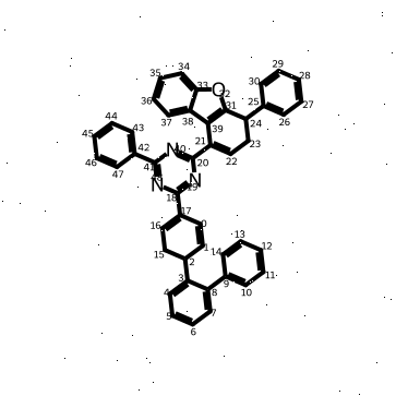 C1=CC(c2ccccc2-c2ccccc2)CC=C1c1nc(C2=CCC(c3ccccc3)c3oc4ccccc4c32)nc(-c2ccccc2)n1